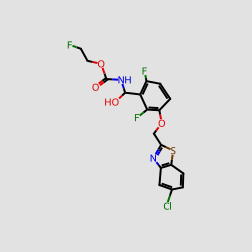 O=C(NC(O)c1c(F)ccc(OCc2nc3cc(Cl)ccc3s2)c1F)OCCF